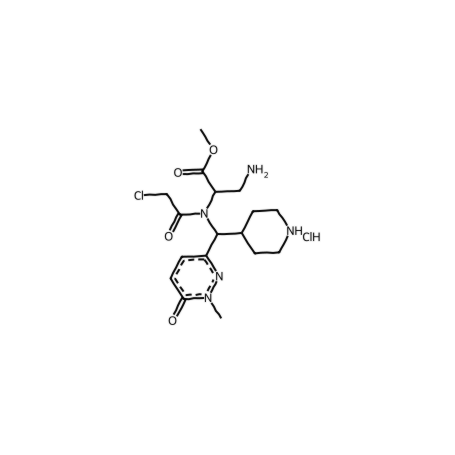 COC(=O)C(CN)N(C(=O)CCl)C(c1ccc(=O)n(C)n1)C1CCNCC1.Cl